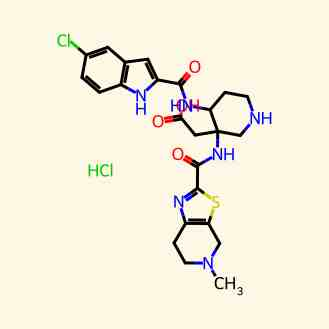 CN1CCc2nc(C(=O)NC3(CC(=O)O)CNCCC3NC(=O)c3cc4cc(Cl)ccc4[nH]3)sc2C1.Cl